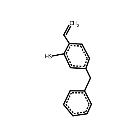 C=Cc1ccc(Cc2ccccc2)cc1S